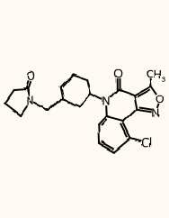 Cc1onc2c1c(=O)n(C1CCCC(CN3CCCC3=O)C1)c1cccc(Cl)c21